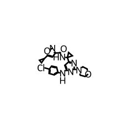 O=C(NC1(c2cc(Nc3ccc(Cl)cc3)nc(N3CCOCC3)n2)CC1)c1cc(C2CC2)on1